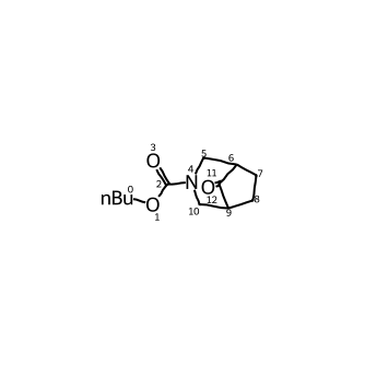 CCCCOC(=O)N1CC2CCC(C1)C2=O